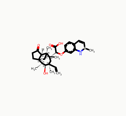 C=C[C@]1(C)C[C@@H](C(Oc2ccc3c(c2)NB(C)C=C3)C(=O)O)[C@@]2(C)[C@H](C)CC[C@]3(CCC(=O)[C@H]32)[C@@H](C)[C@@H]1O